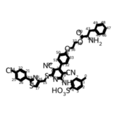 Cc1ccc(S(=O)(=O)O)cc1.N#Cc1c(N)nc(SCc2csc(-c3ccc(Cl)cc3)n2)c(C#N)c1-c1ccc(OCCOC(=O)[C@@H](N)Cc2ccccc2)cc1